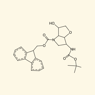 CC(C)(C)OC(=O)NC1CN(C(=O)OCC2c3ccccc3-c3ccccc32)C2C(O)COC12